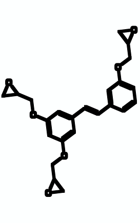 C(=Cc1cc(OCC2CO2)cc(OCC2CO2)c1)c1cccc(OCC2CO2)c1